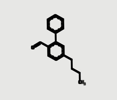 CCCCc1ccc(C=O)c(-c2ccccc2)c1